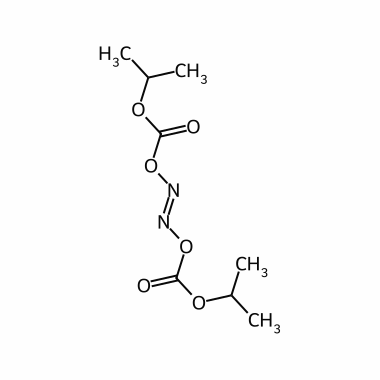 CC(C)OC(=O)ON=NOC(=O)OC(C)C